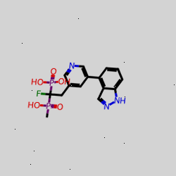 CP(=O)(O)C(F)(Cc1cncc(-c2cccc3[nH]ncc23)c1)P(=O)(O)O